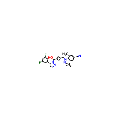 C=NN(CC12CC(C(O)N3N=CCC3c3cc(F)cc(F)c3)(C1)C2)c1ccc(C#N)cc1C